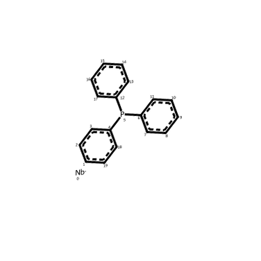 [Nb].c1ccc(P(c2ccccc2)c2ccccc2)cc1